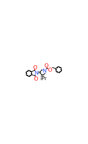 CC(C)[C@H]1CN(C(=O)OCc2ccccc2)C[C@H]1N1C(=O)c2ccccc2C1=O